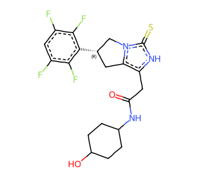 O=C(Cc1[nH]c(=S)n2c1C[C@H](c1c(F)c(F)cc(F)c1F)C2)NC1CCC(O)CC1